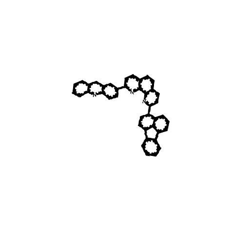 c1ccc2c(c1)-c1cccc3c(-c4ccc5ccc6ccc(-c7ccc8nc9ccccc9cc8c7)nc6c5n4)ccc-2c13